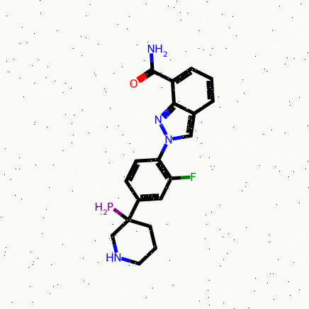 NC(=O)c1cccc2cn(-c3ccc(C4(P)CCCNC4)cc3F)nc12